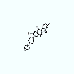 CCc1cc2c(cc1N1CCC(N3CCOCC3)CC1)C(C)(C)c1[nH]c3nc(C)ccc3c1C2=O